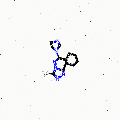 FC(F)(F)c1nnc2c3ccccc3c(-n3ccnc3)nn12